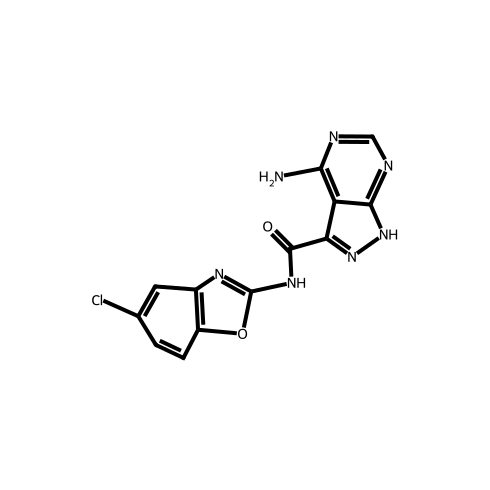 Nc1ncnc2[nH]nc(C(=O)Nc3nc4cc(Cl)ccc4o3)c12